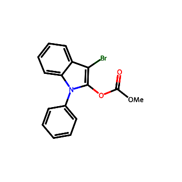 COC(=O)Oc1c(Br)c2ccccc2n1-c1ccccc1